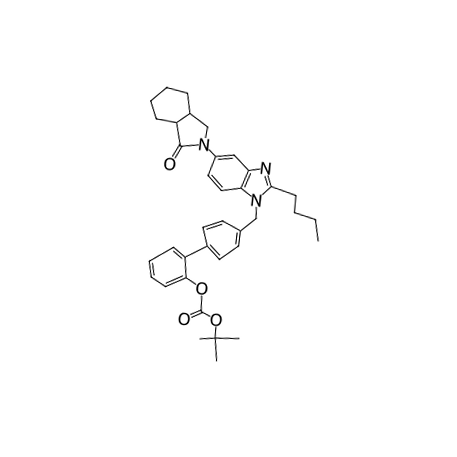 CCCCc1nc2cc(N3CC4CCCCC4C3=O)ccc2n1Cc1ccc(-c2ccccc2OC(=O)OC(C)(C)C)cc1